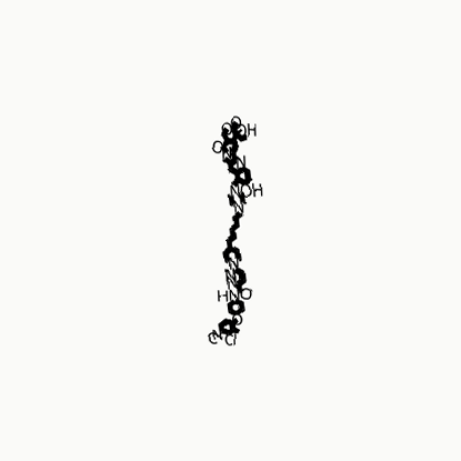 [C-]#[N+]c1ccc(OC2CCC(NC(=O)c3ccc(N4CCC(CCCCCCN5CCN(Cc6c(O)ccc7nc8c(cc67)Cn6c-8cc7c(c6=O)COC(=O)[C@]7(O)CC)CC5)CC4)nn3)CC2)c(C)c1Cl